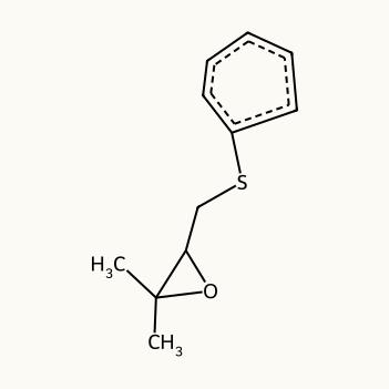 CC1(C)OC1CSc1ccccc1